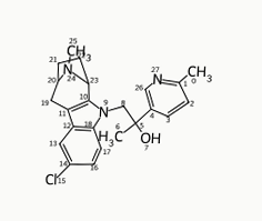 Cc1ccc(C(C)(O)Cn2c3c(c4cc(Cl)ccc42)CC2CCC3N2C)cn1